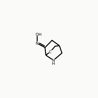 O/N=C1\CC2CCC1NC2